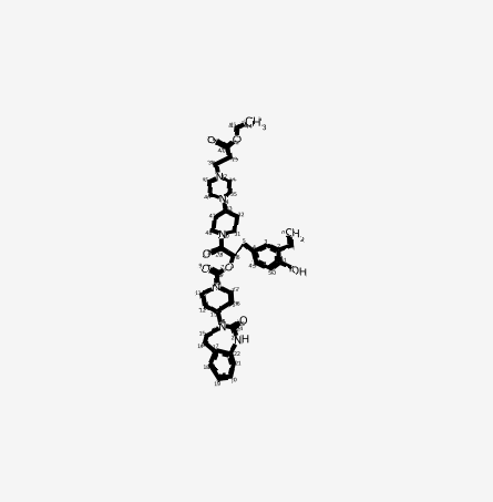 C=Cc1cc(C[C@@H](OC(=O)N2CCC(N3CCc4ccccc4NC3=O)CC2)C(=O)N2CCC(N3CCN(CCC(=O)OCC)CC3)CC2)ccc1O